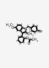 COc1ccc2c(c1)c(-c1ccccc1OC(C)=O)c(C)n2Cc1ccc(Br)cc1